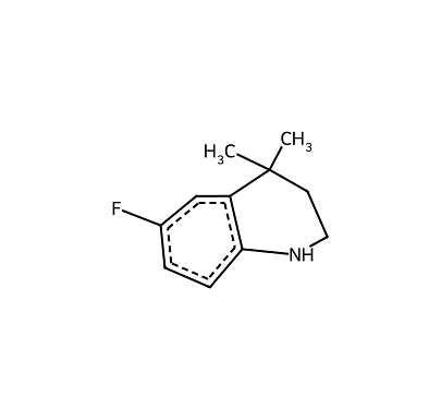 CC1(C)CCNc2ccc(F)cc21